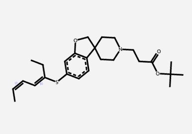 C/C=C\C=C(/CC)Sc1ccc2c(c1)OCC21CCN(CCC(=O)OC(C)(C)C)CC1